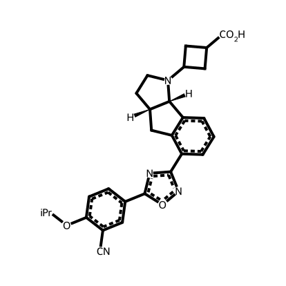 CC(C)Oc1ccc(-c2nc(-c3cccc4c3C[C@@H]3CCN(C5CC(C(=O)O)C5)[C@H]43)no2)cc1C#N